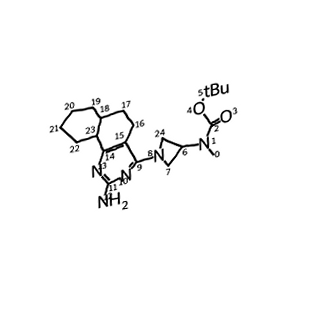 CN(C(=O)OC(C)(C)C)C1CN(c2nc(N)nc3c2CCC2CCCCC32)C1